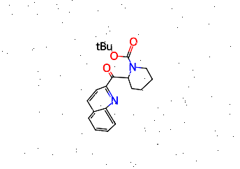 CC(C)(C)OC(=O)N1CCCCC1C(=O)c1ccc2ccccc2n1